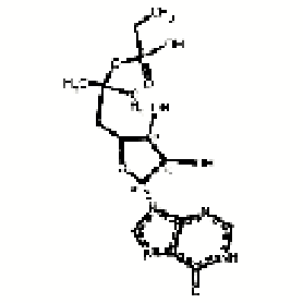 CCP(=O)(O)OC(C)(C)CC1O[C@@H](n2cnc3c(=O)[nH]cnc32)[C@H](O)[C@@H]1O